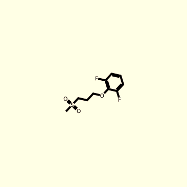 CS(=O)(=O)CCCOc1c(F)cccc1F